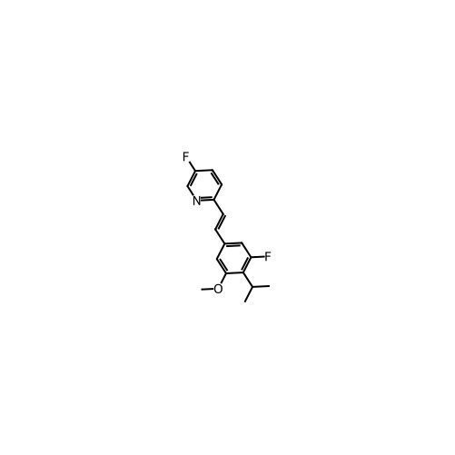 COc1cc(/C=C/c2ccc(F)cn2)cc(F)c1C(C)C